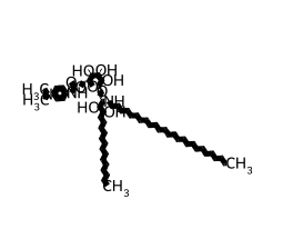 CCCCCCCCCCCCCCCCCCCCCCCCCCN[C@@H](CO[C@H]1O[C@H](COC(=O)Nc2ccc(N(C)C)cc2)[C@H](O)[C@H](O)[C@H]1O)[C@H](O)[C@H](O)CCCCCCCCCCCCCC